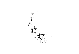 CNc1nc(N)nc2c1ncn2[C@@H]1O[C@]2(F)COP(=O)(OCCSC(=O)C(C)(C)C)O[C@H]2[C@@]1(C)F